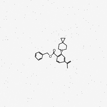 C=C(C)c1ccc(C(=O)OCc2ccccc2)c(N2CCC3(CC2)CC3)c1